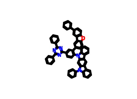 c1ccc(-c2ccc3oc4ccc(-c5cc(-c6nc(-c7ccccc7)nc(-c7ccccc7)n6)ccc5-n5c6ccccc6c6cc7c8ccccc8n(-c8ccccc8)c7cc65)cc4c3c2)cc1